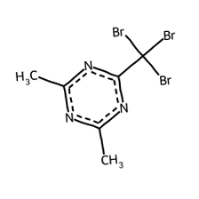 Cc1nc(C)nc(C(Br)(Br)Br)n1